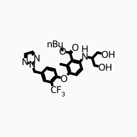 CCCCOC(=O)c1c(NC(CO)CO)ccc(Oc2ccc(Cn3nccn3)cc2C(F)(F)F)c1C